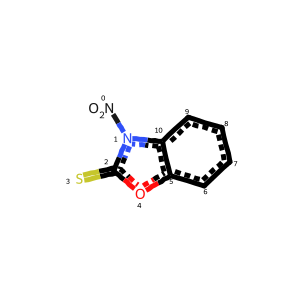 O=[N+]([O-])n1c(=S)oc2ccccc21